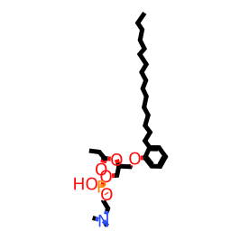 CCCCCCCCCCCCCCCCc1ccccc1OCC(COP(O)OCCN(C)C)OC(=O)CC